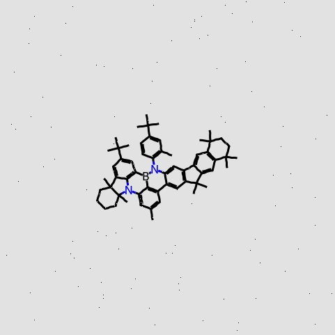 Cc1cc2c3c(c1)N1c4c(cc(C(C)(C)C)cc4C4(C)CCCCC14C)B3N(c1ccc(C(C)(C)C)cc1C)c1cc3c(cc1-2)C(C)(C)c1cc2c(cc1-3)C(C)(C)CCC2(C)C